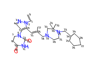 C=Cn1ncc(N2CCC(=O)NC2=O)c1/C=C(\C)CN1CCN(CC2CCCCC2)C(C)(C)C1